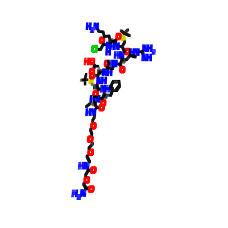 CC[C@H](NC(=O)[C@H](Cc1ccccc1)NC(=O)[C@H](CSC(C)(C)C)NC(=O)[C@H](CC(=O)O)NC(=O)CNC(=O)[C@H](CCCNC(=N)N)NC(=O)C(CSC(C)(C)C)NC(=O)[C@H](CCCCN)NC(=O)CCl)C(=O)NCCOCCOCCOCCNC(=O)COCC(N)=O